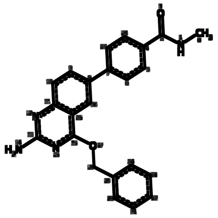 CNC(=O)c1ccc(-c2ccc3nc(N)nc(OCc4ccccc4)c3c2)cc1